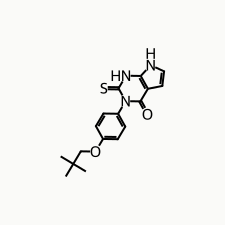 CC(C)(C)COc1ccc(-n2c(=S)[nH]c3[nH]ccc3c2=O)cc1